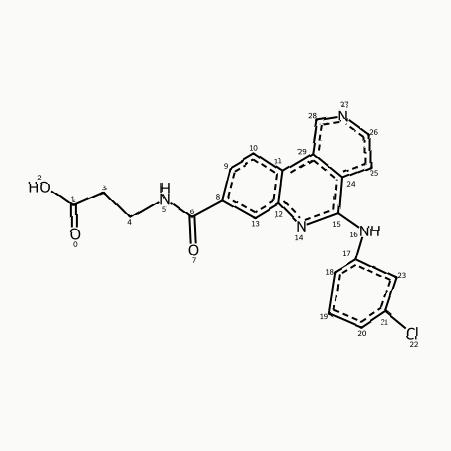 O=C(O)CCNC(=O)c1ccc2c(c1)nc(Nc1cccc(Cl)c1)c1ccncc12